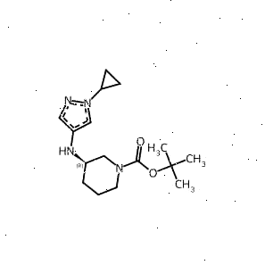 CC(C)(C)OC(=O)N1CCC[C@@H](Nc2cnn(C3CC3)c2)C1